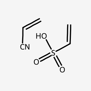 C=CC#N.C=CS(=O)(=O)O